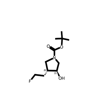 CC(C)(C)OC(=O)N1C[C@@H](CCF)[C@H](O)C1